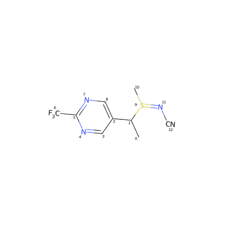 CC(c1cnc(C(F)(F)F)nc1)/S(C)=N\C#N